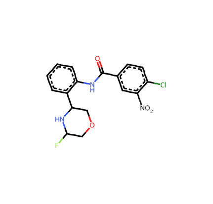 O=C(Nc1ccccc1C1COCC(F)N1)c1ccc(Cl)c([N+](=O)[O-])c1